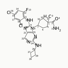 CC1(C(N)=O)CCC(n2c(Nc3c(F)cc(Cl)cc3Cl)nc3cnc(NC4CCC4)nc32)CC1